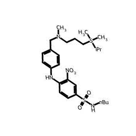 CCCCNS(=O)(=O)c1ccc(Nc2ccc(CN(C)CCCS(C)(C)C(C)C)cc2)c([N+](=O)[O-])c1